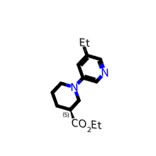 CCOC(=O)[C@H]1CCCN(c2cncc(CC)c2)C1